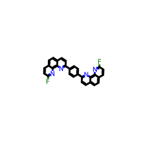 Fc1ccc2ccc3ccc(-c4ccc(-c5ccc6ccc7ccc(F)nc7c6n5)cc4)nc3c2n1